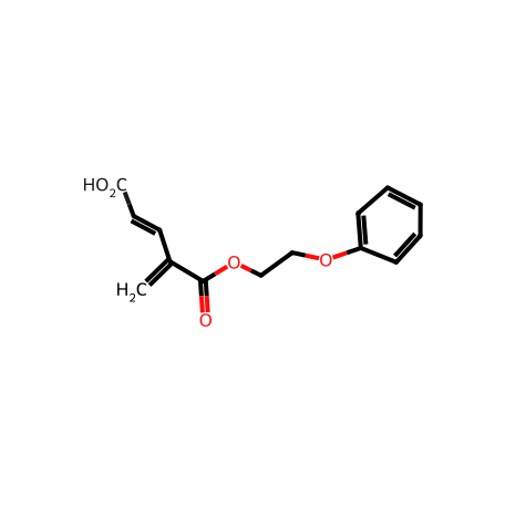 C=C(C=CC(=O)O)C(=O)OCCOc1ccccc1